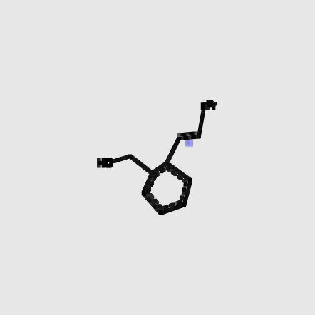 CCC/C=C/c1ccccc1CO